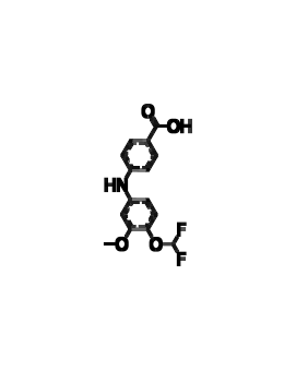 COc1cc(Nc2ccc(C(=O)O)cc2)ccc1OC(F)F